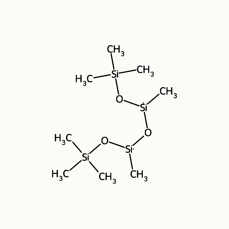 C[Si](O[Si](C)O[Si](C)(C)C)O[Si](C)(C)C